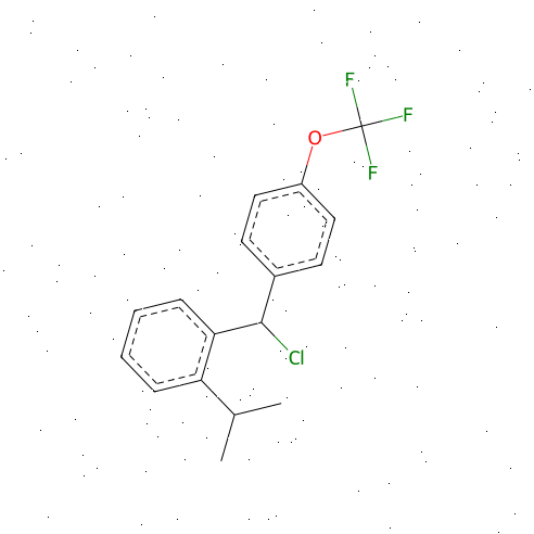 CC(C)c1ccccc1C(Cl)c1ccc(OC(F)(F)F)cc1